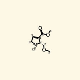 COC[C@H]1C(C(=O)OC)=CCN1C